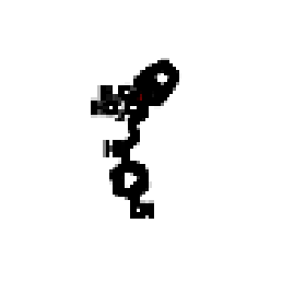 CN(CCCNc1ccc(C#N)cc1)C1C2CCC1CN(C(=O)O)C2